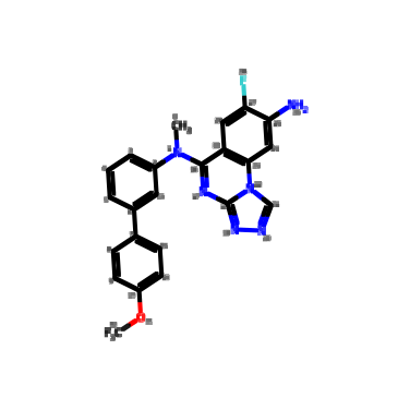 CN(c1cccc(-c2ccc(OC(F)(F)F)cc2)c1)c1nc2nncn2c2cc(N)c(F)cc12